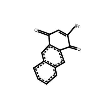 CC(C)C1=CC(=O)c2cc3ccccc3cc2C1=O